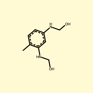 Cc1ccc(NCO)cc1NCO